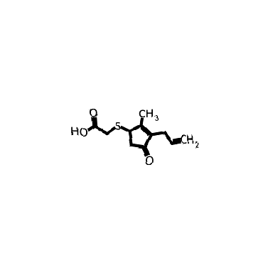 C=CCC1=C(C)C(SCC(=O)O)CC1=O